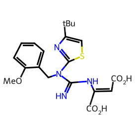 COc1ccccc1CN(C(=N)N/C(=C\C(=O)O)C(=O)O)c1nc(C(C)(C)C)cs1